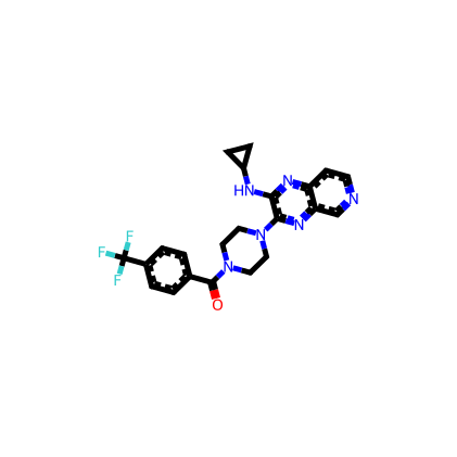 O=C(c1ccc(C(F)(F)F)cc1)N1CCN(c2nc3cnccc3nc2NC2CC2)CC1